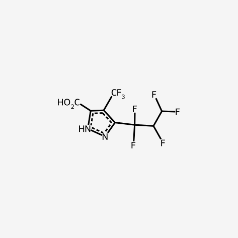 O=C(O)c1[nH]nc(C(F)(F)C(F)C(F)F)c1C(F)(F)F